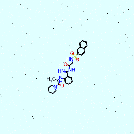 C[C@H](Nc1ccccc1C(=N)NC(=O)CNS(=O)(=O)c1ccc2ccccc2c1)C(=O)N1CCCCC1